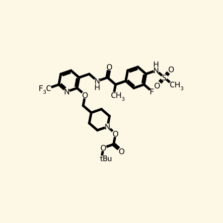 CC(C(=O)NCc1ccc(C(F)(F)F)nc1OCC1CCN(OC(=O)OC(C)(C)C)CC1)c1ccc(NS(C)(=O)=O)c(F)c1